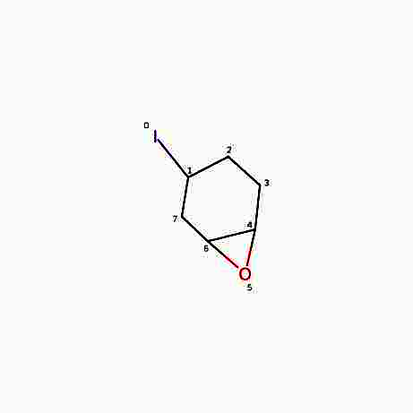 IC1CCC2OC2C1